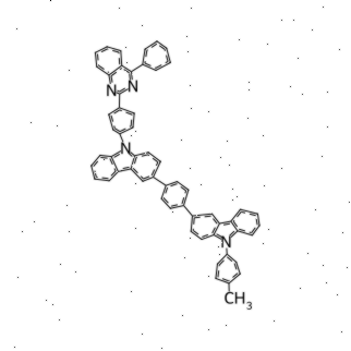 Cc1ccc(-n2c3ccccc3c3cc(-c4ccc(-c5ccc6c(c5)c5ccccc5n6-c5ccc(-c6nc(-c7ccccc7)c7ccccc7n6)cc5)cc4)ccc32)cc1